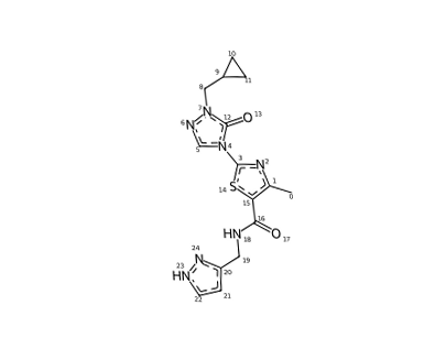 Cc1nc(-n2cnn(CC3CC3)c2=O)sc1C(=O)NCc1cc[nH]n1